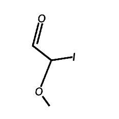 COC(I)C=O